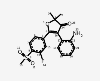 CC1(C)OC(c2ccc(S(C)(=O)=O)c(F)c2)=C(c2ccccc2N)C1=O